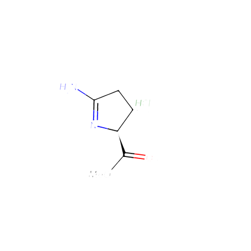 COC(=O)[C@@H]1CCC(N)=N1.Cl